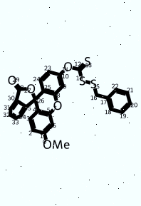 COc1ccc2c(c1)Oc1cc(OC(=S)SSCc3ccccc3)ccc1C21OC(=O)c2ccccc21